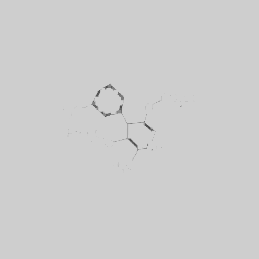 CCOC(=O)OC1=CNC(C)=C(OC(=O)OCC)C1c1cccc(C(F)(F)F)c1